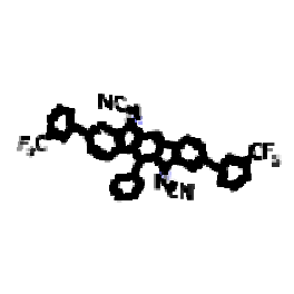 N#C/N=c1\c2c(c3c(-c4ccccc4)c4/c(=N/C#N)c5cc(-c6cccc(C(F)(F)F)c6)ccc5c4cc13)C=CC(c1cccc(C(F)(F)F)c1)C2